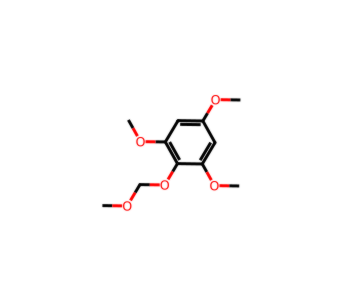 COCOc1c(OC)cc(OC)cc1OC